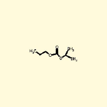 BC(B)OC(=O)OCCC